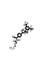 CCSCC(=O)NC(C#N)c1ccc(C2=NOC(c3cc(C(F)(F)F)cc(C(F)(F)F)c3)(C(F)(F)F)C2)cc1